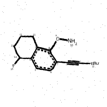 CC(C)(C)C#Cc1ccc2c(c1ON)CCCC2F